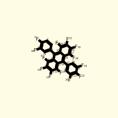 Fc1ccc(-c2c3c(F)c(F)c(F)c(F)c3c(-c3cc(F)c(F)c(F)c3)c3c(F)c(F)c(F)c(F)c23)cc1F